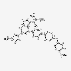 COc1ccc(CN2CCN(c3ccc(-c4cc(-c5cnn(C)c5)cn5ncc(C(=O)N(C)C)c45)cn3)CC2)cn1